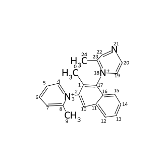 Cc1c(-[n+]2ccccc2C)cc2ccccc2c1-[n+]1ccncc1C